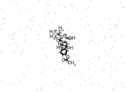 CC(=O)Oc1ccc2c(c1)[C@@]1(O)C[C@@H](C(=O)O)N(C(=O)OC(C)(C)C)[C@H]1N2